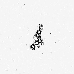 O=C1c2c(Cl)ccc(NS(=O)(=O)c3ccc(-c4cnco4)cc3)c2C(=O)N1c1cccnc1